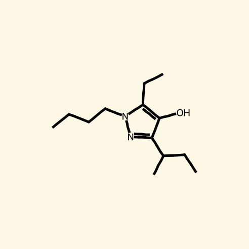 CCCCn1nc(C(C)CC)c(O)c1CC